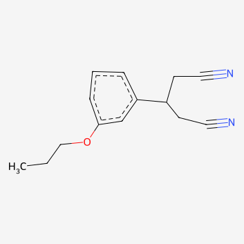 CCCOc1cccc(C(CC#N)CC#N)c1